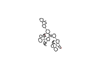 c1cc(-c2ccc3c(c2)C2(c4ccccc4Oc4ccccc42)c2ccccc2-3)cc(N(c2ccc(-c3ccc4c(c3)sc3ccccc34)cc2)c2ccc3c(c2)C2(c4ccccc4Oc4ccccc42)c2ccccc2-3)c1